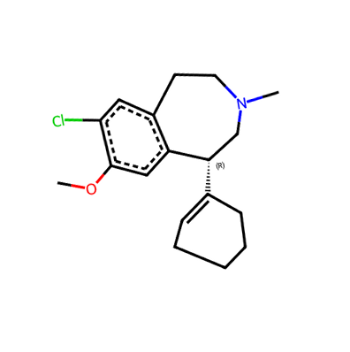 COc1cc2c(cc1Cl)CCN(C)C[C@@H]2C1=CCCCC1